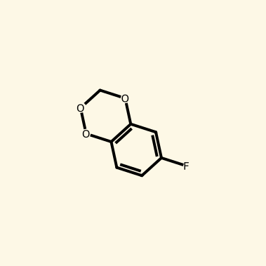 Fc1ccc2c(c1)OCOO2